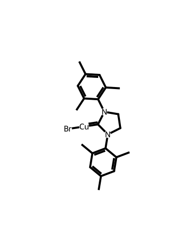 Cc1cc(C)c(N2CCN(c3c(C)cc(C)cc3C)[C]2=[Cu][Br])c(C)c1